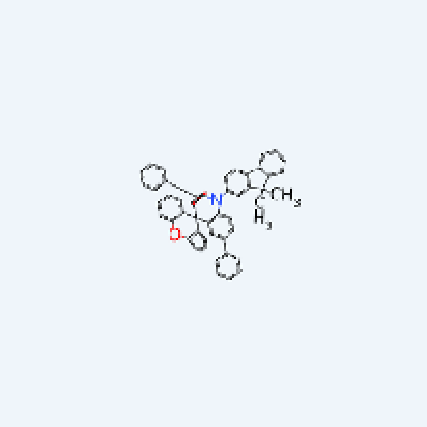 CC1(C)c2ccccc2-c2ccc(N3c4ccc(-c5ccccc5)cc4C4(c5ccccc5Oc5ccccc54)c4cc(-c5ccccc5)ccc43)cc21